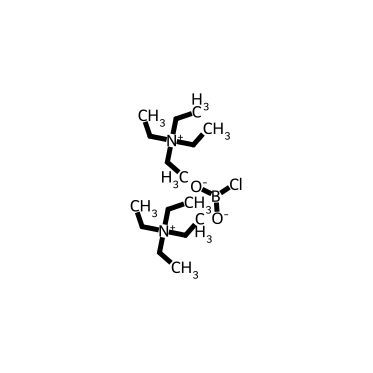 CC[N+](CC)(CC)CC.CC[N+](CC)(CC)CC.[O-]B([O-])Cl